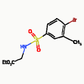 CCOC(=O)CNS(=O)(=O)c1ccc(Br)c(C)c1